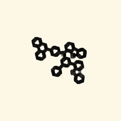 c1ccc(-c2cc(-c3cccc4c3oc3ccccc34)cc(N(c3ccc(-c4cc5ccccc5c5ccccc45)cc3)c3cccc4c3oc3ccccc34)c2)cc1